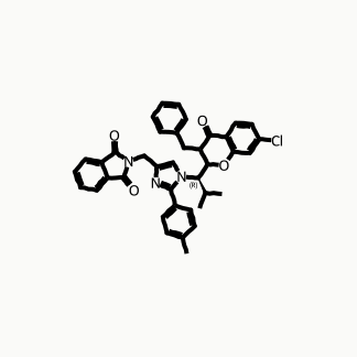 Cc1ccc(-c2nc(CN3C(=O)c4ccccc4C3=O)cn2[C@H](C(C)C)C2Oc3cc(Cl)ccc3C(=O)C2Cc2ccccc2)cc1